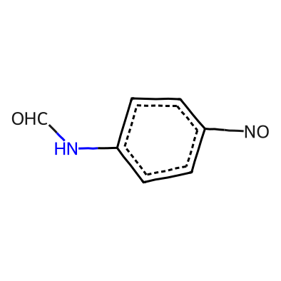 O=CNc1ccc(N=O)cc1